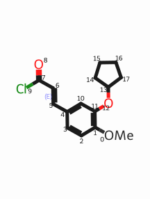 COc1ccc(/C=C/C(=O)Cl)cc1OC1CCCC1